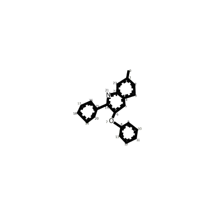 Cc1ccc2cc(Oc3ccccc3)c(-c3ccccc3)nc2c1